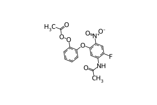 CC(=O)Nc1cc(Oc2ccccc2OOC(C)=O)c([N+](=O)[O-])cc1F